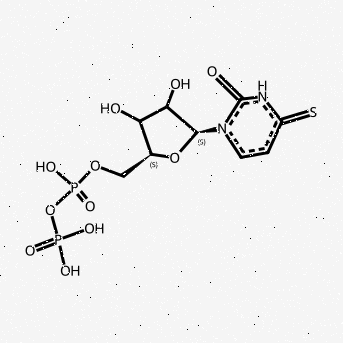 O=c1[nH]c(=S)ccn1[C@H]1O[C@@H](COP(=O)(O)OP(=O)(O)O)C(O)C1O